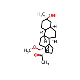 COC[C@]12CC[C@H]3[C@@H](CC[C@@H]4C[C@](C)(O)CC[C@@H]43)[C@@H]1CC[C@@H]2C(C)=O